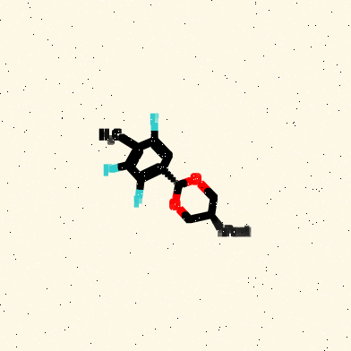 CCCCC[C@H]1CO[C@H](c2cc(F)c(C)c(F)c2F)OC1